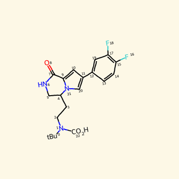 CC(C)(C)N(CCC1CNC(=O)c2cc(-c3ccc(F)c(F)c3)cn21)C(=O)O